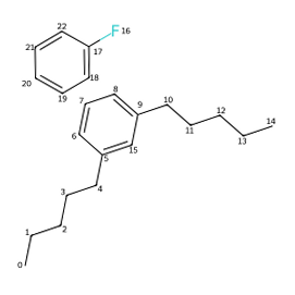 CCCCCc1cccc(CCCCC)c1.Fc1ccccc1